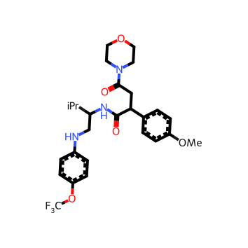 COc1ccc(C(CC(=O)N2CCOCC2)C(=O)NC(CNc2ccc(OC(F)(F)F)cc2)C(C)C)cc1